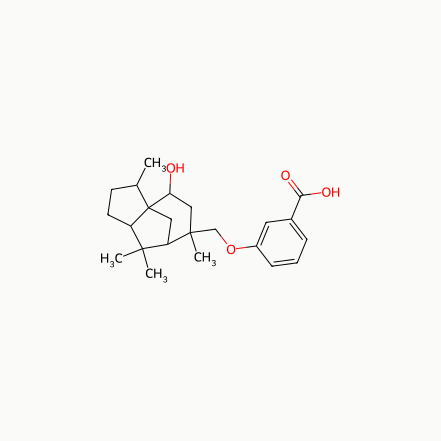 CC1CCC2C(C)(C)C3CC12C(O)CC3(C)COc1cccc(C(=O)O)c1